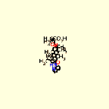 C=C(C)C1CCC2(C(=O)Nc3cccc4cccnc34)CC[C@]3(C)C(CCC4C5(C)CCC(OC(=O)CC(C)(C)C(=O)O)C(C)(C)C5CCC43C)C12